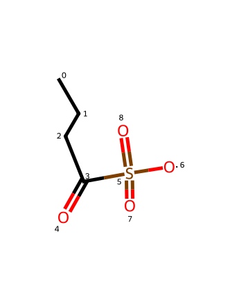 CCCC(=O)S([O])(=O)=O